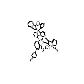 CC1(C)c2ccccc2-c2ccc(N(c3ccc(-c4ccc(F)cc4)cc3)c3cccc4c3-c3ccccc3C43c4ccccc4Oc4c3ccc3ccccc43)cc21